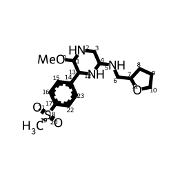 COC1NCC(NCC2CCCO2)NC1c1ccc(S(C)(=O)=O)cc1